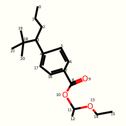 CCCC(c1ccc(C(=O)OC(C)OCC)cc1)C(C)(C)C